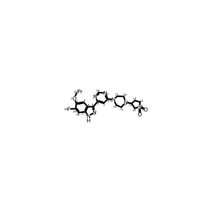 CC(C)Oc1cc2c(-c3cc(N4CCN(C5CCS(=O)(=O)C5)CC4)ncn3)n[nH]c2cc1F